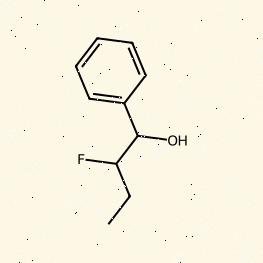 CCC(F)C(O)c1ccccc1